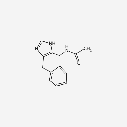 CC(=O)NCc1[nH]cnc1Cc1ccccc1